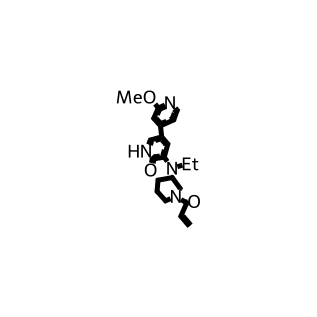 C=CC(=O)N1CCC[C@H](N(CC)c2cc(-c3ccnc(OC)c3)c[nH]c2=O)C1